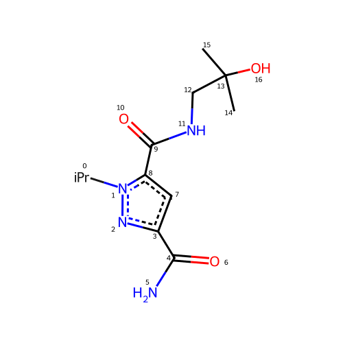 CC(C)n1nc(C(N)=O)[c]c1C(=O)NCC(C)(C)O